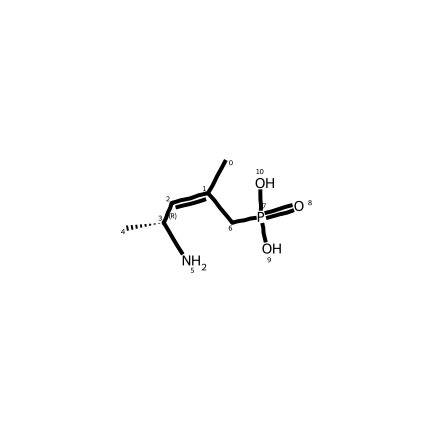 CC(=C[C@@H](C)N)CP(=O)(O)O